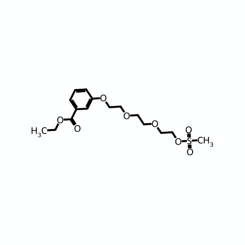 CCOC(=O)c1cccc(OCCOCCOCCOS(C)(=O)=O)c1